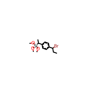 CCC(Br)c1ccc(C(C)[Si](OC)(OC)OC)cc1